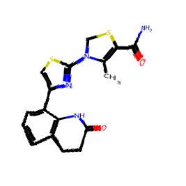 CC1=C(C(N)=O)SCN1c1nc(-c2cccc3c2NC(=O)CC3)cs1